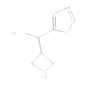 O=S(=O)(O)C(c1nccs1)C1CNC1